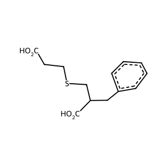 O=C(O)CCSCC(Cc1ccccc1)C(=O)O